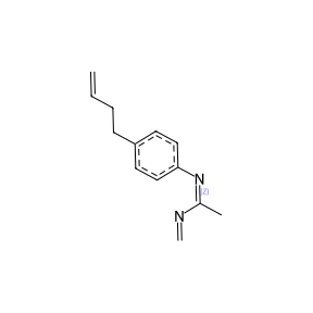 C=CCCc1ccc(/N=C(/C)N=C)cc1